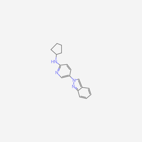 c1ccc2nn(-c3ccc(NC4CCCC4)nc3)cc2c1